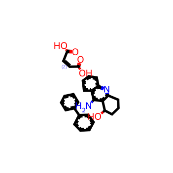 Nc1c2c(nc3ccccc13)CCCC2O.O=C(O)/C=C\C(=O)O.c1ccc(-c2ccccc2)cc1